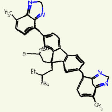 CCCCC(CC)CC1(CC(CC)CCCC)c2cc(-c3ccc(C)c4c3=NCN=4)ccc2-c2ccc(-c3ccc(C)c4c3=NCN=4)cc21